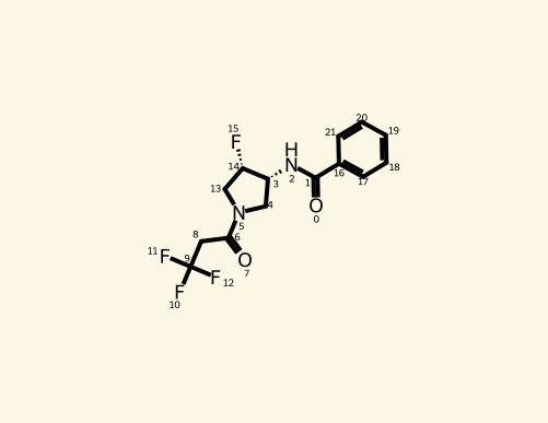 O=C(N[C@@H]1CN(C(=O)CC(F)(F)F)C[C@@H]1F)c1ccccc1